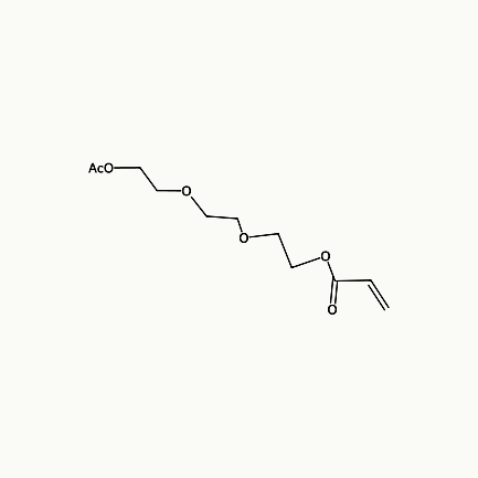 C=CC(=O)OCCOCCOCCOC(C)=O